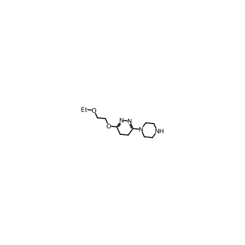 CCOCCOC1=NN=C(N2CCNCC2)CC1